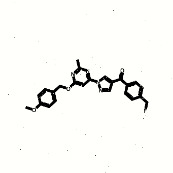 COc1ccc(COc2cc(-n3cc(C(=O)c4ccc(CF)cc4)cn3)nc(C)n2)cc1